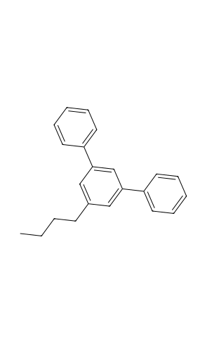 CCCCc1cc(-c2ccccc2)cc(-c2ccccc2)c1